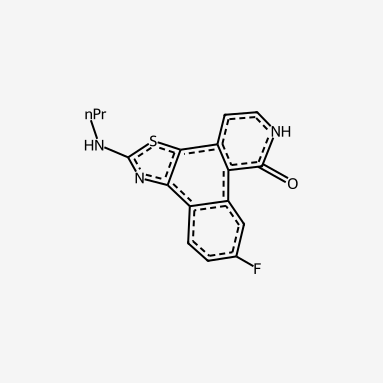 CCCNc1nc2c3ccc(F)cc3c3c(=O)[nH]ccc3c2s1